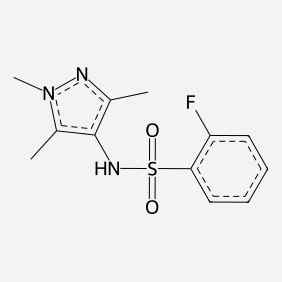 Cc1nn(C)c(C)c1NS(=O)(=O)c1ccccc1F